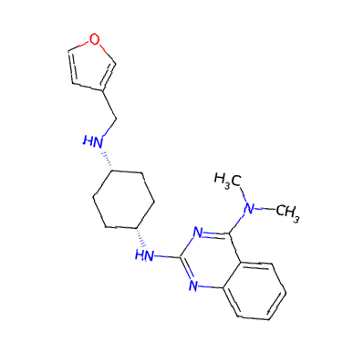 CN(C)c1nc(N[C@H]2CC[C@@H](NCc3ccoc3)CC2)nc2ccccc12